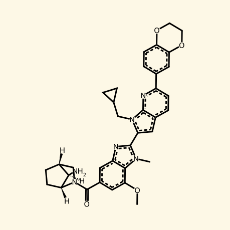 COc1cc(C(=O)N2C[C@H]3CC[C@@H]2[C@@H]3N)cc2nc(-c3cc4ccc(-c5ccc6c(c5)OCCO6)nc4n3CC3CC3)n(C)c12